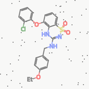 CCOc1ccc(CNC2=NS(=O)(=O)c3cccc(Oc4ccccc4Cl)c3N2)cc1